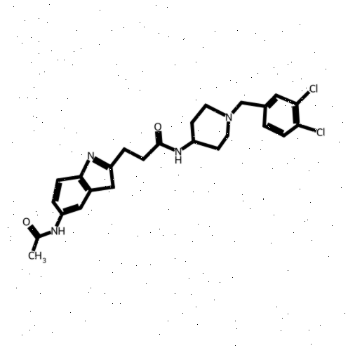 CC(=O)Nc1ccc2c(c1)CC(CCC(=O)NC1CCN(Cc3ccc(Cl)c(Cl)c3)CC1)=N2